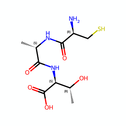 C[C@H](NC(=O)[C@@H](N)CS)C(=O)N[C@H](C(=O)O)[C@@H](C)O